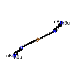 CCCCN(CCCC)c1ccc(/C=C/C2=CCN(CCCCCCCCCCCCCSSCCCCCCCCCCCCCN3C=CC(/C=C/c4ccc(N(CCCC)CCCC)cc4)=CC3)C=C2)cc1